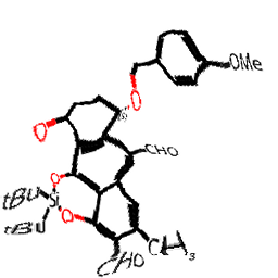 COc1ccc(CO[C@H]2CCC(=O)c3c2c(C=O)c2cc(C)c(C=O)c4c2c3O[Si](C(C)(C)C)(C(C)(C)C)O4)cc1